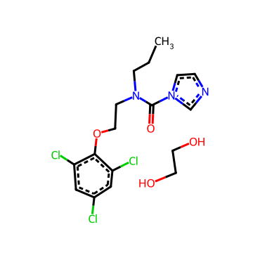 CCCN(CCOc1c(Cl)cc(Cl)cc1Cl)C(=O)n1ccnc1.OCCO